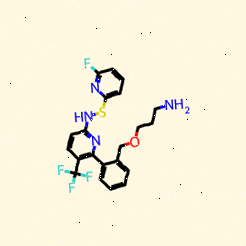 NCCCOCc1ccccc1-c1nc(NSc2cccc(F)n2)ccc1C(F)(F)F